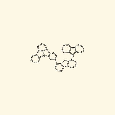 c1cc(-c2ccc3c4cccc5c6ccccc6n(c3c2)c54)c2c(c1)-c1cccc(-n3c4ccccc4c4ccccc43)c1C2